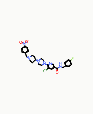 O=C(NCc1ccc(F)cc1)c1cnc(N2CCN(C3CCN(Cc4ccc([N+](=O)[O-])cc4)CC3)CC2)c(Cl)c1